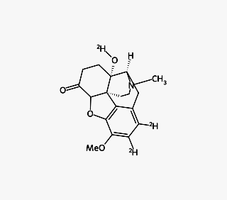 [2H]O[C@@]12CCC(=O)C3Oc4c(OC)c([2H])c([2H])c5c4[C@@]31CCN(C)[C@@H]2C5